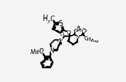 CCCC1N(C(=O)OC)CCCC1(Oc1ccc(C)s1)C(=O)N1CCN(c2ccccc2OC)CC1